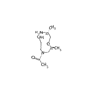 CC(=O)N(CCO)C[C@H](C)OC[C@@H](C)N